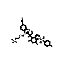 CCC(C)(c1c(C)cc(C)c2c1ccn2S(=O)(=O)c1ccc(C)cc1)c1nc2cc(C#N)ccc2n1COCC[Si](C)(C)C